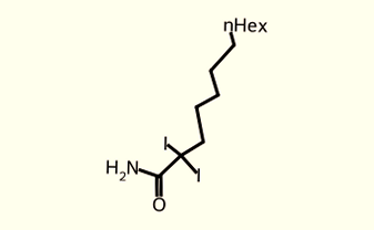 CCCCCCCCCCCC(I)(I)C(N)=O